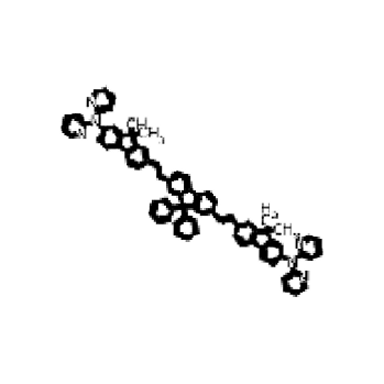 CC1(C)c2cc(/C=C/c3ccc4c(c3)C(c3ccccc3)(c3ccccc3)c3cc(/C=C/c5ccc6c(c5)C(C)(C)c5cc(N(c7ccccn7)c7ccccn7)ccc5-6)ccc3-4)ccc2-c2ccc(N(c3ccccn3)c3ccccn3)cc21